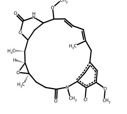 COc1cc2cc(c1Cl)N(C)C(=O)CC[C@@]1(C)O[C@H]1[C@H](C)C1CC(NC(=O)O1)C(OC)/C=C/C=C(\C)C2